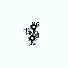 CN(C)c1ccc(NC(=O)c2cc(Cl)ccc2O)c(Cl)c1